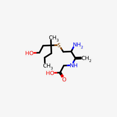 C=C(NCC(=O)O)C(N)CSC(C)(CCC)CCO